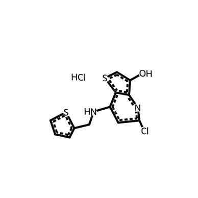 Cl.Oc1csc2c(NCc3cccs3)cc(Cl)nc12